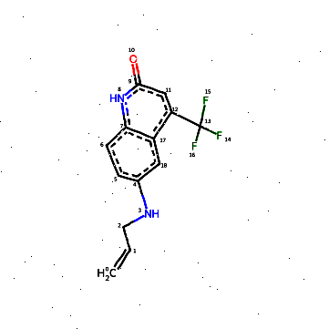 C=CCNc1ccc2[nH]c(=O)cc(C(F)(F)F)c2c1